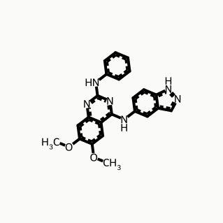 COc1cc2nc(Nc3ccccc3)nc(Nc3ccc4[nH]ncc4c3)c2cc1OC